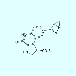 CCOC(=O)C1CNc2c1c1cc(C3=NN4CC34)ccc1[nH]c2=O